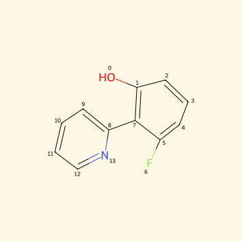 Oc1cccc(F)c1-c1ccccn1